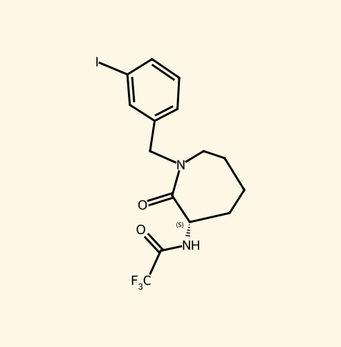 O=C1[C@@H](NC(=O)C(F)(F)F)CCCCN1Cc1cccc(I)c1